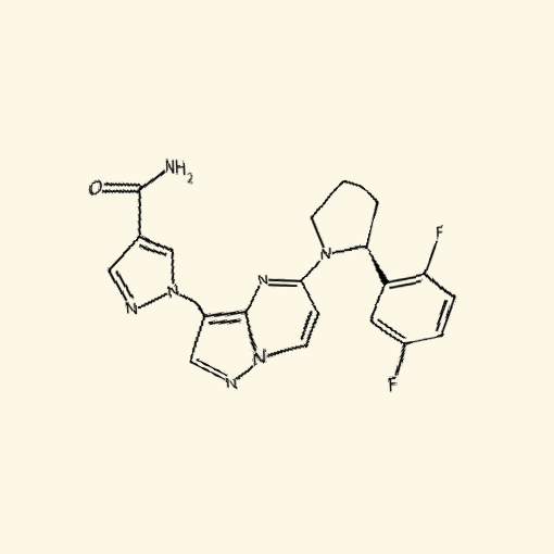 NC(=O)c1cnn(-c2cnn3ccc(N4CCC[C@H]4c4cc(F)ccc4F)nc23)c1